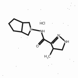 CC1CNN=C1C(=O)NN1CC2CCCC2C1.Cl